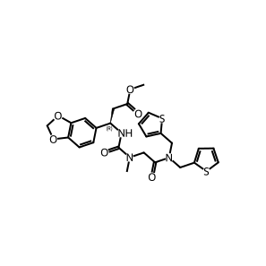 COC(=O)C[C@@H](NC(=O)N(C)CC(=O)N(Cc1cccs1)Cc1cccs1)c1ccc2c(c1)OCO2